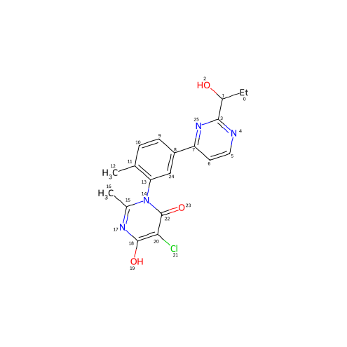 CCC(O)c1nccc(-c2ccc(C)c(-n3c(C)nc(O)c(Cl)c3=O)c2)n1